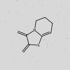 C=C1SC2=CCCCN2C1=C